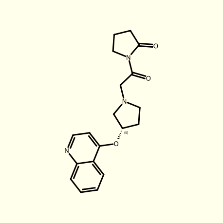 O=C1CCCN1C(=O)CN1CC[C@H](Oc2ccnc3ccccc23)C1